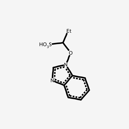 CCC(On1cnc2ccccc21)S(=O)(=O)O